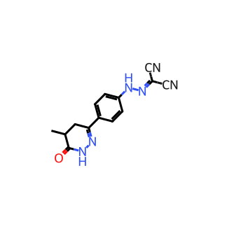 CC1CC(c2ccc(NN=C(C#N)C#N)cc2)=NNC1=O